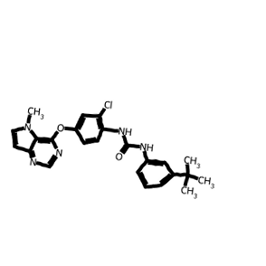 Cn1ccc2ncnc(Oc3ccc(NC(=O)Nc4cccc(C(C)(C)C)c4)c(Cl)c3)c21